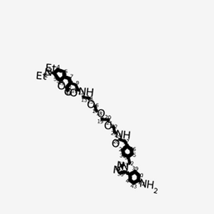 CCN(CC)c1ccc2cc(CC(=O)NCCOCCOCCOCCNC(=O)Cc3ccc(Cn4nncc4-c4ccc(N)cc4)cc3)c(=O)oc2c1